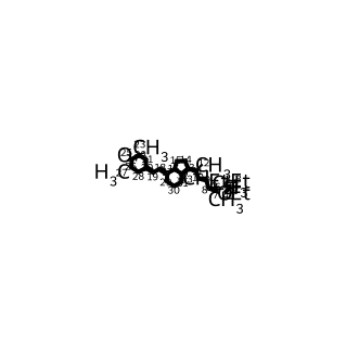 CC[Si](CC)(CC)OC(C)(C)CCC[C@H](C)C1CCC2/C(=C/C=C3C[C@@H](C)C(=O)[C@H](C)C3)CCC[C@@]21C